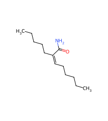 CCCCCC=C(CCCCC)C(N)=O